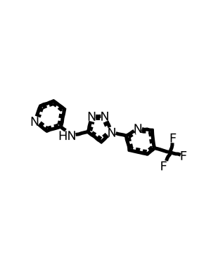 FC(F)(F)c1ccc(-n2cc(Nc3cccnc3)nn2)nc1